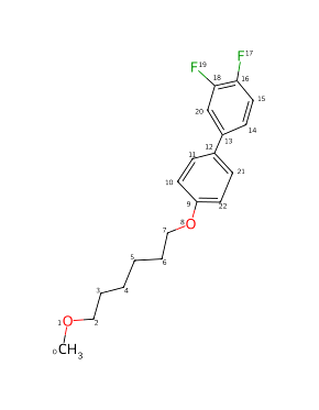 COCCCCCCOc1ccc(-c2ccc(F)c(F)c2)cc1